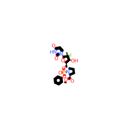 COC(=O)[C@@H]1CCCN1P(=O)(OC[C@H]1O[C@@H](n2ccc(=O)[nH]c2=O)[C@](C)(F)[C@@H]1O)Oc1ccccc1